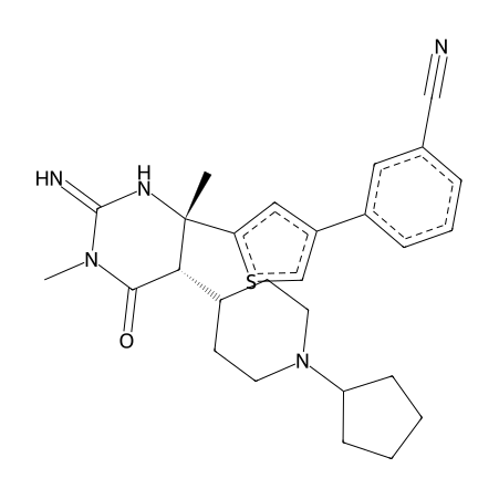 CN1C(=N)N[C@](C)(c2cc(-c3cccc(C#N)c3)cs2)[C@H](C2CCN(C3CCCC3)CC2)C1=O